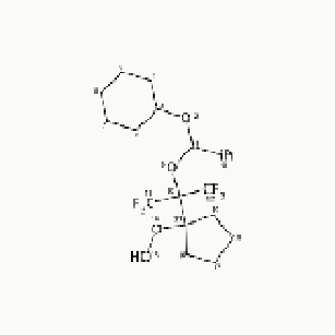 CC(C)C(OC1CCCCC1)OC(C(F)(F)F)(C(F)(F)F)C1(OO)CCCC1